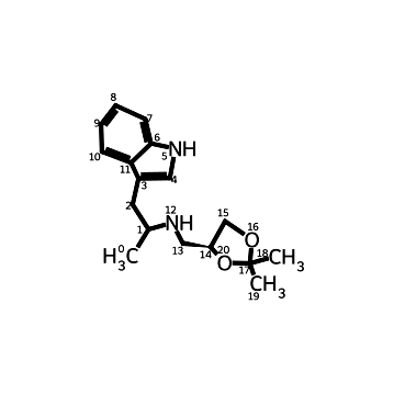 CC(Cc1c[nH]c2ccccc12)NC[C@H]1COC(C)(C)O1